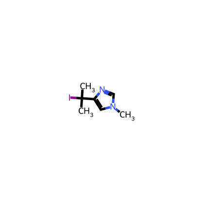 Cn1cnc(C(C)(C)I)c1